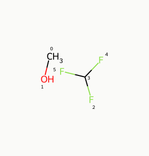 CO.FC(F)F